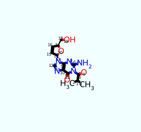 CC(C)C(=O)n1c(N)nc2c(ncn2[C@H]2C=C[C@@H](CO)O2)c1=O